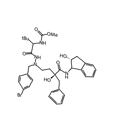 COC(=O)NC(C(=O)NN(CC[C@@](O)(Cc1ccccc1)C(=O)NC1c2ccccc2C[C@H]1O)Cc1ccc(Br)cc1)C(C)(C)C